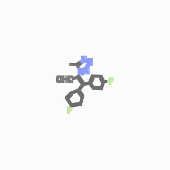 Cc1nnnn1C(C=O)=C(c1ccc(F)cc1)c1ccc(F)cc1